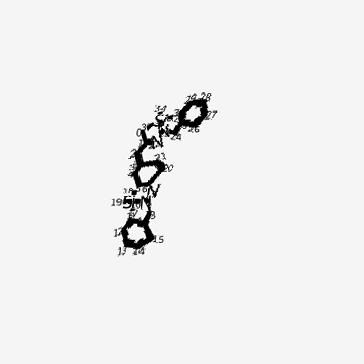 CC(CC1CCC(=NN(Cc2ccccc2)[Si](C)(C)C)CC1)=NN(Cc1ccccc1)[Si](C)(C)C